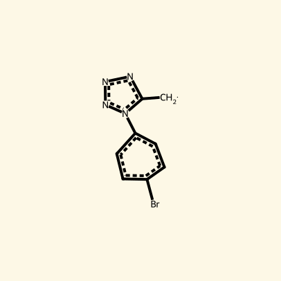 [CH2]c1nnnn1-c1ccc(Br)cc1